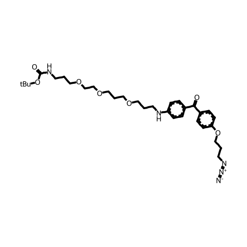 CC(C)(C)OC(=O)NCCCOCCOCCCOCCCNc1ccc(C(=O)c2ccc(OCCCN=[N+]=[N-])cc2)cc1